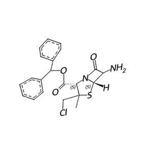 CC1(CCl)S[C@H]2C(N)C(=O)N2[C@H]1C(=O)OC(c1ccccc1)c1ccccc1